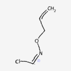 C=CCO/N=[C]\Cl